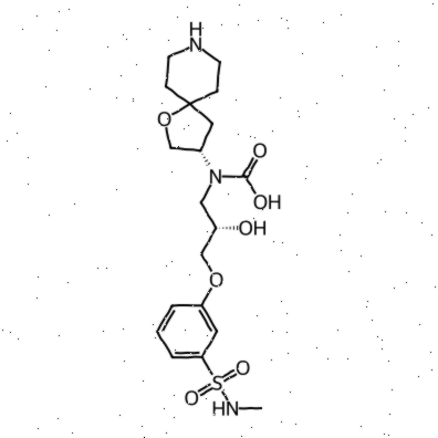 CNS(=O)(=O)c1cccc(OC[C@@H](O)CN(C(=O)O)[C@@H]2COC3(CCNCC3)C2)c1